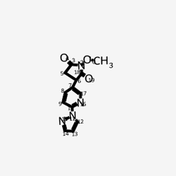 CON1C(=O)CC(c2ccc(-n3cccn3)nc2)C1=O